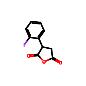 O=C1CC(c2ccccc2I)C(=O)O1